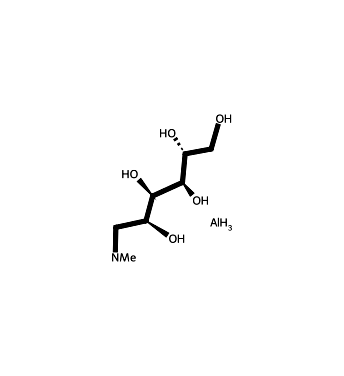 CNC[C@H](O)[C@@H](O)[C@H](O)[C@H](O)CO.[AlH3]